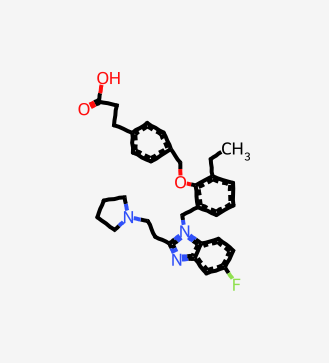 CCc1cccc(Cn2c(CCN3CCCC3)nc3cc(F)ccc32)c1OCc1ccc(CCC(=O)O)cc1